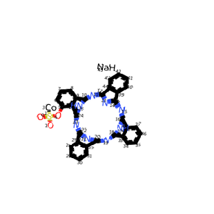 O=[S](=O)([Co])Oc1cccc2c3nc4nc(nc5[nH]c(nc6nc(nc([nH]3)c12)-c1ccccc1-6)c1ccccc51)-c1ccccc1-4.[NaH]